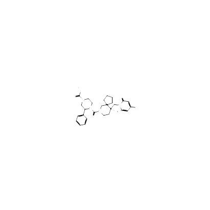 CC(C)(C)OC(=O)N1CCN(C(=O)N2CC[C@@](O)(Cn3ccc(Cl)cc3=O)C3(CCCC3)C2)C(c2ccccc2)C1